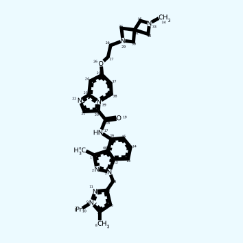 Cc1nn(Cc2cc(C)n(C(C)C)n2)c2cccc(NC(=O)c3cnc4cc(OCCN5CC6(CN(C)C6)C5)ccn34)c12